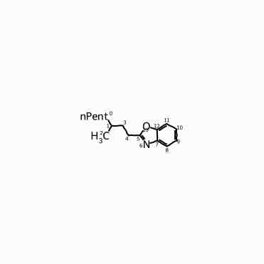 CCCCCC(C)CCc1nc2ccccc2o1